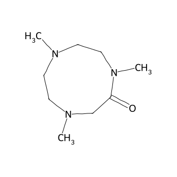 CN1CCN(C)CC(=O)N(C)CC1